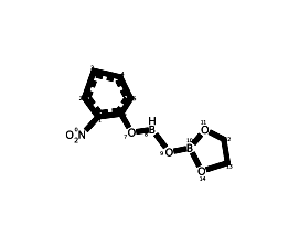 O=[N+]([O-])c1ccccc1OBOB1OCCO1